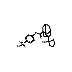 O=C(Oc1ccc(S(=O)(=O)O)cc1)C12CC3CC(C1)CC(C1(O)CCCC1)(C3)C2